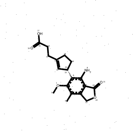 COc1c(C)c2c(c(N)c1[C@@H]1C=C(CCC(=O)O)CC1)C(=O)OC2